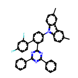 Cc1ccc2c(c1)c1cc(C)ccc1n2-c1ccc(-c2ccc(F)cc2F)c(-c2nc(-c3ccccc3)nc(-c3ccccc3)n2)c1